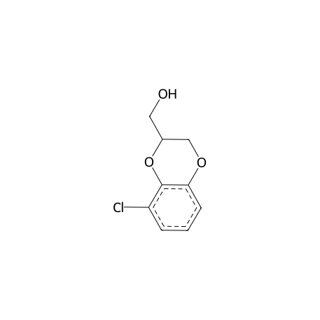 OCC1COc2cccc(Cl)c2O1